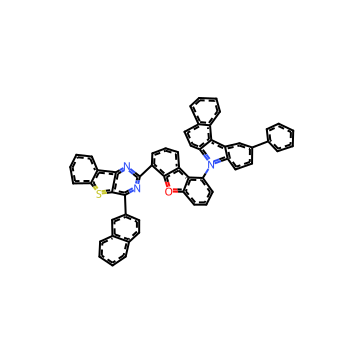 c1ccc(-c2ccc3c(c2)c2c4ccccc4ccc2n3-c2cccc3oc4c(-c5nc(-c6ccc7ccccc7c6)c6sc7ccccc7c6n5)cccc4c23)cc1